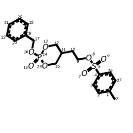 Cc1ccc(S(=O)(=O)OCCC2COP(=O)(OCc3ccccc3)OC2)cc1